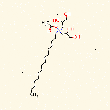 CCCCCCCCCCCCCCCC[N+](CC(O)CO)(CC(O)CO)OC(C)=O